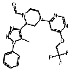 Cc1c(C2CN(c3cc(OCC(F)(F)F)ncn3)CCN2C=O)nnn1-c1ccccc1